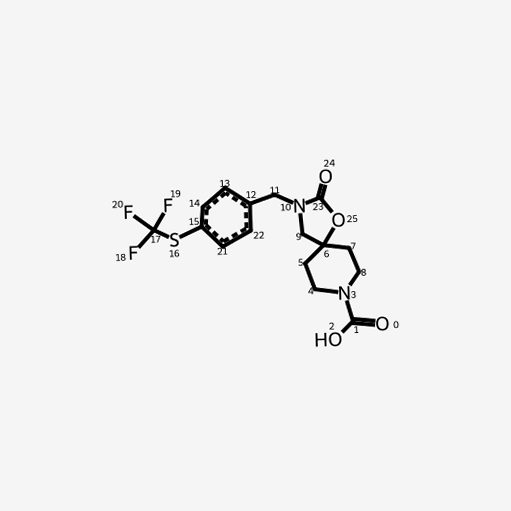 O=C(O)N1CCC2(CC1)CN(Cc1ccc(SC(F)(F)F)cc1)C(=O)O2